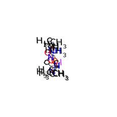 C[C@@H]1[C@@H](NC(=O)C2CCS(=O)(=O)N2Cc2cccc(CN3CC4=CCC(C=C4I)[C@]3(CN(C)C)CC(C)(C)C)c2)C[C@H]2C[C@@H]1C2(C)C